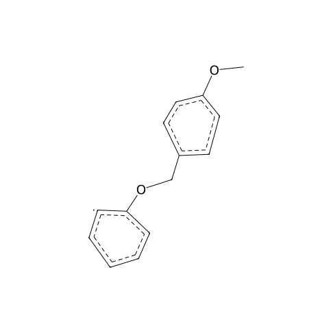 COc1ccc(COc2[c]cccc2)cc1